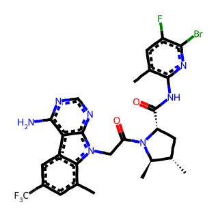 Cc1cc(F)c(Br)nc1NC(=O)[C@@H]1C[C@H](C)[C@@H](C)N1C(=O)Cn1c2ncnc(N)c2c2cc(C(F)(F)F)cc(C)c21